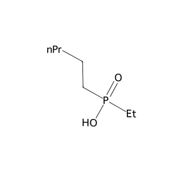 CCCCCP(=O)(O)CC